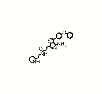 Nc1ncc(/C=C/C(=O)NCCC2CCCCN2)c2scc(-c3ccc(Oc4ccccc4)cc3)c12